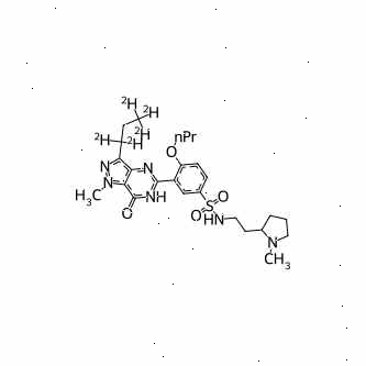 [2H]C([2H])([2H])CC([2H])([2H])c1nn(C)c2c(=O)[nH]c(-c3cc(S(=O)(=O)NCCC4CCCN4C)ccc3OCCC)nc12